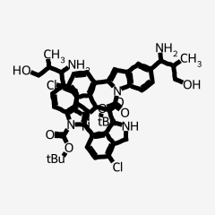 CC(CO)C(N)c1ccc2c(c1)cc(-c1ccc(Cl)c3c1C(C(=O)C1NCc4c(Cl)ccc(-c5cc6cc(C(N)C(C)CO)ccc6n5C(=O)OC(C)(C)C)c41)NC3)n2C(=O)OC(C)(C)C